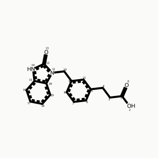 O=C(O)CCc1cccc(Cn2c(=O)[nH]c3ccccc32)c1